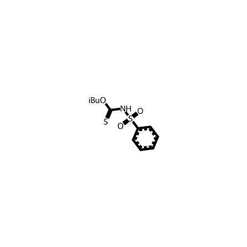 CC(C)COC(=S)NS(=O)(=O)c1ccccc1